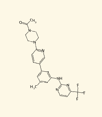 CC(=O)N1CCN(c2ccc(-c3cc(C)cc(Nc4nccc(C(F)(F)F)n4)c3)cn2)CC1